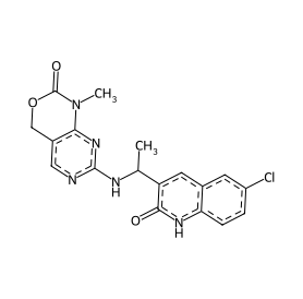 CC(Nc1ncc2c(n1)N(C)C(=O)OC2)c1cc2cc(Cl)ccc2[nH]c1=O